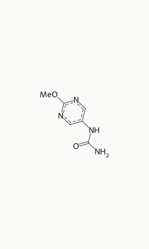 COc1ncc(NC(N)=O)cn1